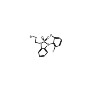 O=S1(=O)N(CCBr)c2ccccc2N1c1c(F)cccc1F